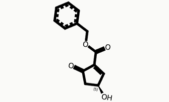 O=C1C[C@H](O)C=C1C(=O)OCc1ccccc1